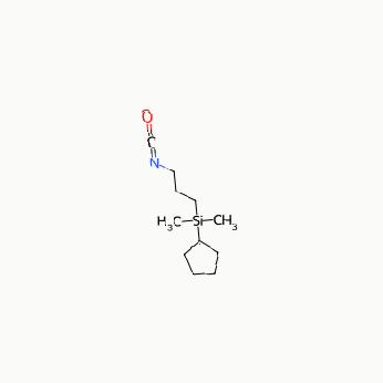 C[Si](C)(CCCN=C=O)[C]1CCCC1